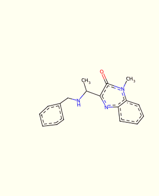 CC(NCc1ccccc1)c1nc2ccccc2n(C)c1=O